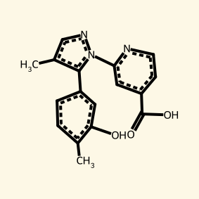 Cc1ccc(-c2c(C)cnn2-c2cc(C(=O)O)ccn2)cc1O